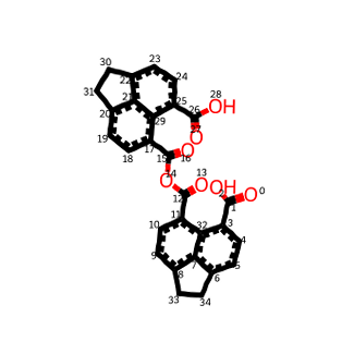 O=C(O)c1ccc2c3c(ccc(C(=O)OC(=O)c4ccc5c6c(ccc(C(=O)O)c46)CC5)c13)CC2